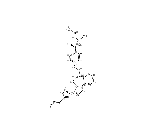 COCc1cc(C2=NN=C3c4ccccc4C(OCc4ccc(C(=O)N[C@H](C)COC)cn4)=NCC23)no1